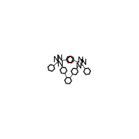 c1ccc(-c2nnc(-c3ccccc3)n2-c2ccc(-c3ccccc3-c3ccc(-n4c(-c5ccccc5)nnc4-c4ccccc4)cc3)cc2)cc1